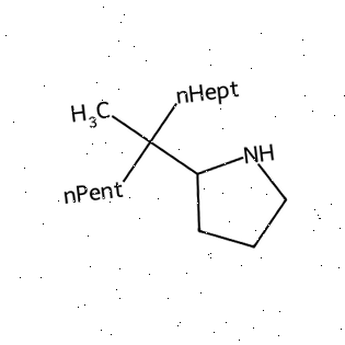 CCCCCCCC(C)(CCCCC)C1CCCN1